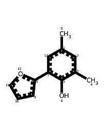 Cc1cc(C)c(O)c(-c2ccco2)c1